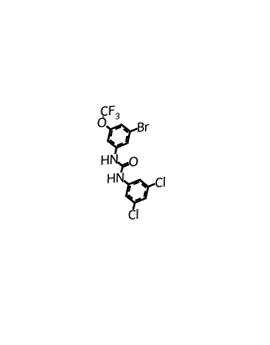 O=C(Nc1cc(Cl)cc(Cl)c1)Nc1cc(Br)cc(OC(F)(F)F)c1